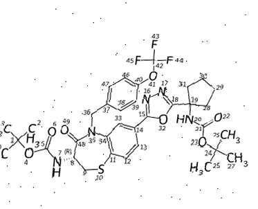 CC(C)(C)OC(=O)N[C@H]1CSc2ccc(-c3nnc(C4(NC(=O)OC(C)(C)C)CCCC4)o3)cc2N(Cc2ccc(OC(F)(F)F)cc2)C1=O